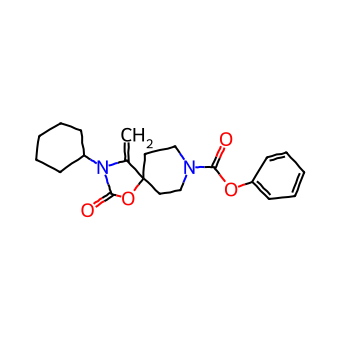 C=C1N(C2CCCCC2)C(=O)OC12CCN(C(=O)Oc1ccccc1)CC2